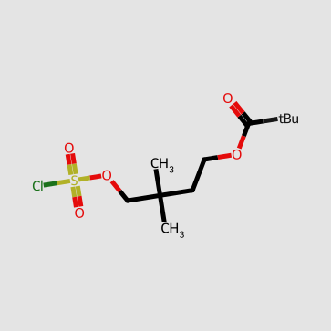 CC(C)(CCOC(=O)C(C)(C)C)COS(=O)(=O)Cl